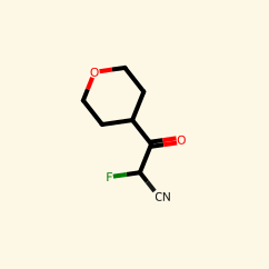 N#CC(F)C(=O)C1CCOCC1